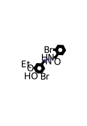 CCOc1cc(/C=N/NC(=O)c2ccccc2Br)cc(Br)c1O